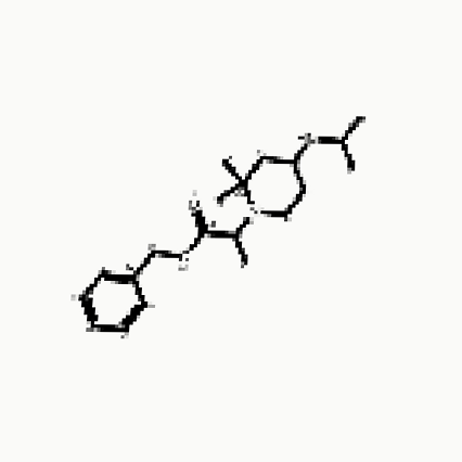 CC(C)NC1CCN(C(C)C(=O)OCc2ccccc2)C(C)(C)C1